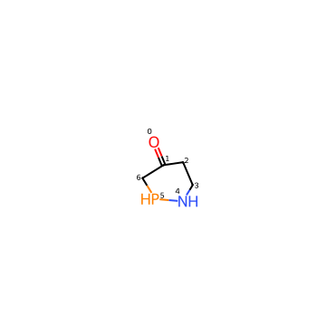 O=C1CCNPC1